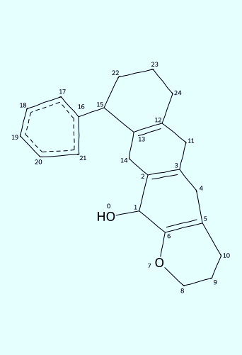 OC1C2=C(CC3=C1OCCC3)CC1=C(C2)C(c2ccccc2)CCC1